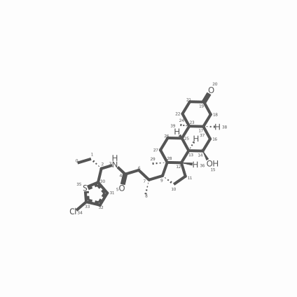 CC[C@H](NC(=O)C[C@@H](C)[C@H]1CC[C@H]2[C@@H]3[C@H](O)C[C@@H]4CC(=O)CC[C@]4(C)[C@H]3CC[C@]12C)c1ccc(Cl)s1